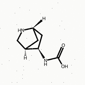 O=C(O)N[C@@H]1C[C@@H]2C[C@@H]1CN2